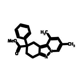 COC(=O)C1(c2ccccc2)CCc2nn3cc(C)cc(C)c3c2C1